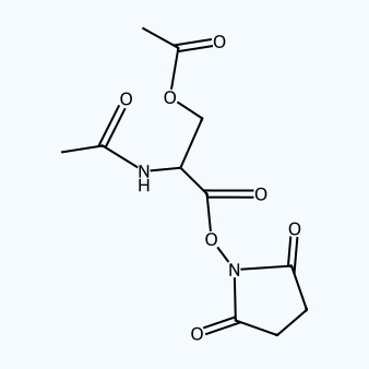 CC(=O)NC(COC(C)=O)C(=O)ON1C(=O)CCC1=O